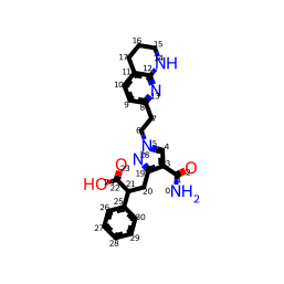 NC(=O)c1cn(CCc2ccc3c(n2)NCCC3)nc1CC(C(=O)O)c1ccccc1